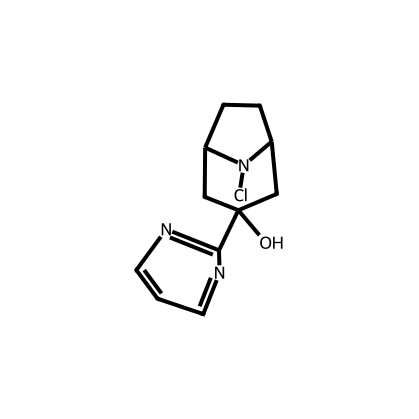 OC1(c2ncccn2)CC2CCC(C1)N2Cl